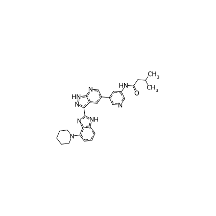 CC(C)CC(=O)Nc1cncc(-c2cnc3[nH]nc(-c4nc5c(N6CCCCC6)cccc5[nH]4)c3c2)c1